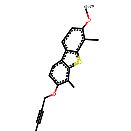 CC#CCOc1ccc2c(sc3c(C)c(OCCCCCC)ccc32)c1C